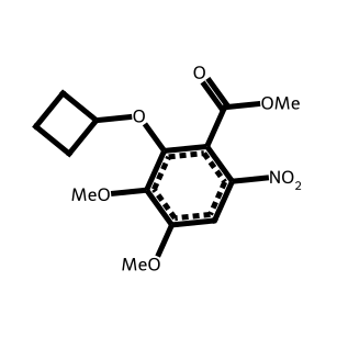 COC(=O)c1c([N+](=O)[O-])cc(OC)c(OC)c1OC1CCC1